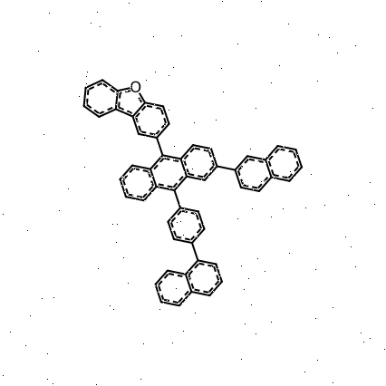 c1ccc2cc(-c3ccc4c(-c5ccc6oc7ccccc7c6c5)c5ccccc5c(-c5ccc(-c6cccc7ccccc67)cc5)c4c3)ccc2c1